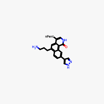 CCCCCc1c[nH]c(=O)c2c1cc(CCCN)c1ccc(-c3cn[nH]c3)cc12